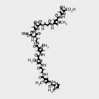 Cn1cc(NC(=O)c2nccn2C)cc1C(=O)NCCC(=O)Nc1cn(C)c(C(=O)Nc2cc(C(=O)NCC[C@@H](NC(=O)OC(C)(C)C)C(=O)Nc3cn(C)c(C(=O)NCCC(=O)Nc4cc(C(=O)Nc5cn(C)c(C(=O)O)n5)n(C)c4)n3)n(C)c2)n1